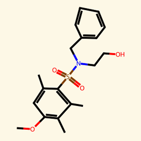 COc1cc(C)c(S(=O)(=O)N(CCO)Cc2ccccc2)c(C)c1C